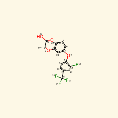 C[C@@H](Oc1cccc(Oc2ccc(C(F)(F)F)cc2F)c1)C(=O)O